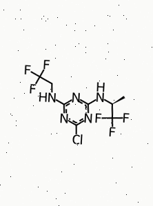 C[C@H](Nc1nc(Cl)nc(NCC(F)(F)F)n1)C(F)(F)F